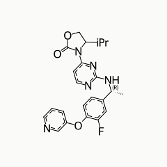 CC(C)C1COC(=O)N1c1ccnc(N[C@H](C)c2ccc(Oc3cccnc3)c(F)c2)n1